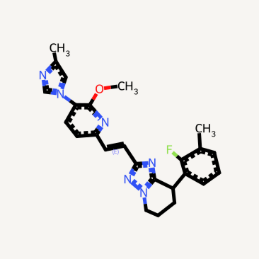 COc1nc(/C=C/c2nc3n(n2)CCCC3c2cccc(C)c2F)ccc1-n1cnc(C)c1